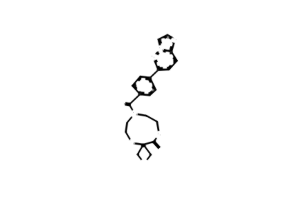 O=C(c1ccc(-c2ccc3nccn3n2)cc1)N1CCNC(=O)C2(COC2)NCC1